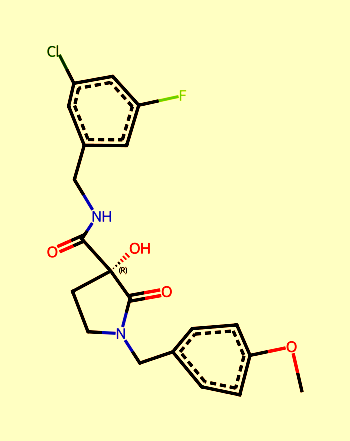 COc1ccc(CN2CC[C@@](O)(C(=O)NCc3cc(F)cc(Cl)c3)C2=O)cc1